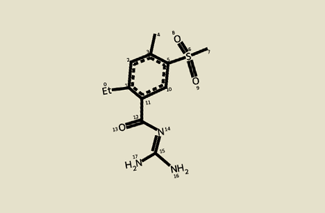 CCc1cc(C)c(S(C)(=O)=O)cc1C(=O)N=C(N)N